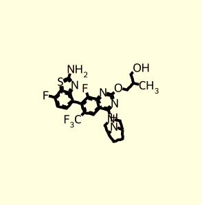 CC(CO)COc1nc(N2CC3CCC(C2)N3)c2cc(C(F)(F)F)c(-c3ccc(F)c4sc(N)nc34)c(F)c2n1